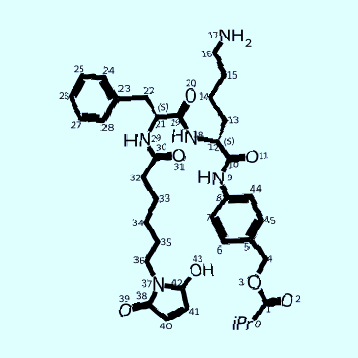 CC(C)C(=O)OCc1ccc(NC(=O)[C@H](CCCCN)NC(=O)[C@H](Cc2ccccc2)NC(=O)CCCCCN2C(=O)C=CC2O)cc1